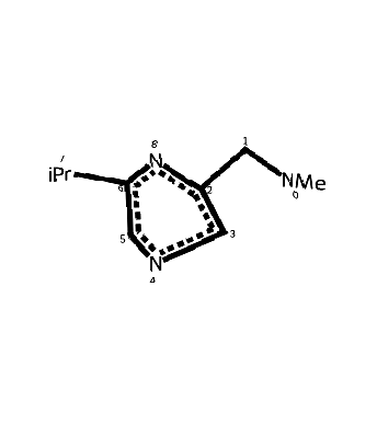 CNCc1cncc(C(C)C)n1